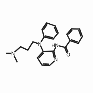 CN(C)CCCN(c1ccccc1)c1cccnc1NC(=O)c1ccccc1